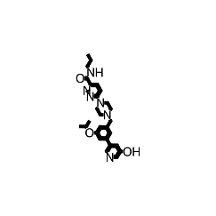 CCCNC(=O)c1ccc(N2CCN(Cc3cc(OC(C)C)cc(-c4cncc(O)c4)c3)CC2)nn1